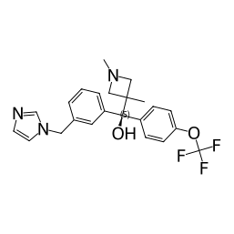 CN1CC(C)([C@](O)(c2ccc(OC(F)(F)F)cc2)c2cccc(Cn3ccnc3)c2)C1